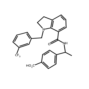 CC(NC(=O)c1cccc2c1N(Cc1cccc(C(F)(F)F)c1)CC2)c1ccc(C(=O)O)cc1